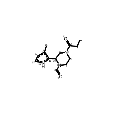 CCC(=O)N1CCN(C=O)C(c2[nH]ccc2C)C1